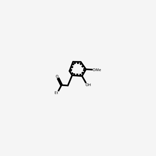 CCC(=O)Cc1cccc(OC)c1O